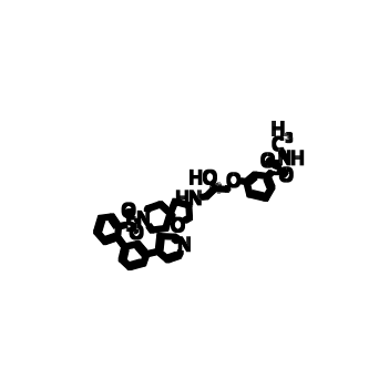 CNS(=O)(=O)c1cccc(OC[C@@H](O)CNC2COC3(CCN(S(=O)(=O)c4ccccc4-c4cccc(-c5ccncc5)c4)CC3)C2)c1